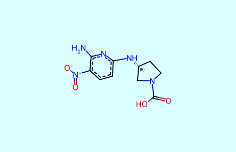 Nc1nc(N[C@@H]2CCN(C(=O)O)C2)ccc1[N+](=O)[O-]